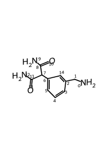 NCc1cccc(C(C(N)=O)C(N)=O)c1